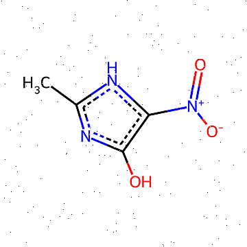 Cc1nc(O)c([N+](=O)[O-])[nH]1